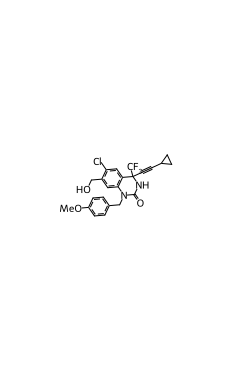 COc1ccc(CN2C(=O)NC(C#CC3CC3)(C(F)(F)F)c3cc(Cl)c(CO)cc32)cc1